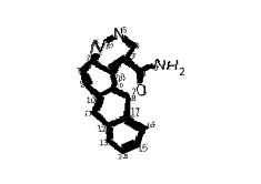 NC(=O)c1cnnc2ccc3cc4ccccc4cc3c12